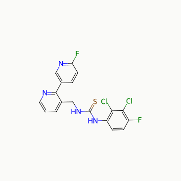 Fc1ccc(-c2ncccc2CNC(=S)Nc2ccc(F)c(Cl)c2Cl)cn1